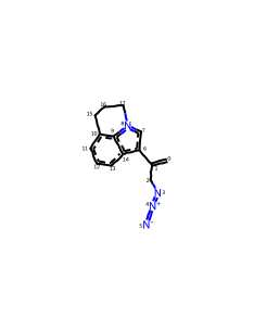 C=C(CN=[N+]=[N-])c1cn2c3c(cccc13)CCC2